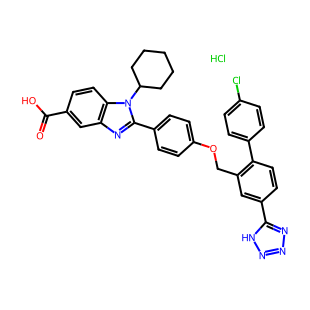 Cl.O=C(O)c1ccc2c(c1)nc(-c1ccc(OCc3cc(-c4nnn[nH]4)ccc3-c3ccc(Cl)cc3)cc1)n2C1CCCCC1